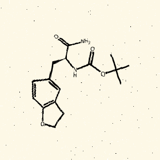 CC(C)(C)OC(=O)N[C@@H](Cc1ccc2c(c1)CCO2)C(N)=O